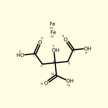 O=C(O)CC(O)(CC(=O)O)C(=O)O.[Fe].[Fe]